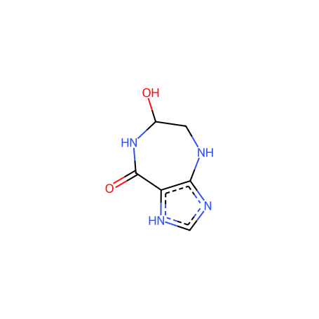 O=C1NC(O)CNc2nc[nH]c21